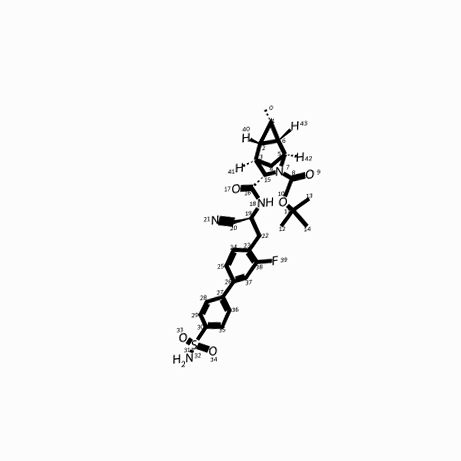 C[C@H]1[C@H]2[C@H]3C[C@@H]([C@@H]12)N(C(=O)OC(C)(C)C)[C@@H]3C(=O)N[C@H](C#N)Cc1ccc(-c2ccc(S(N)(=O)=O)cc2)cc1F